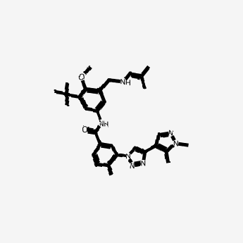 COc1c(CNC=C(C)C)cc(NC(=O)c2ccc(C)c(-n3cc(-c4cnn(C)c4C)nn3)c2)cc1C(C)(C)C